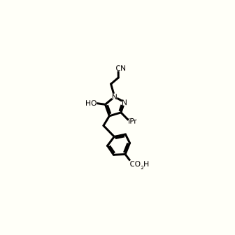 CC(C)c1nn(CCC#N)c(O)c1Cc1ccc(C(=O)O)cc1